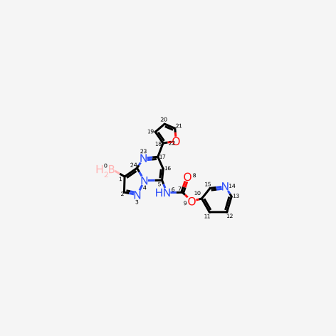 Bc1cnn2c(NC(=O)Oc3cccnc3)cc(-c3ccco3)nc12